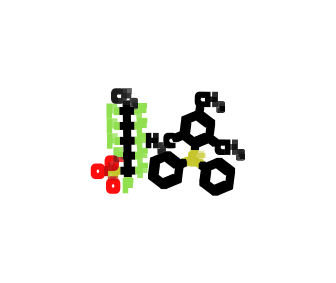 Cc1cc(C)c([S+](c2ccccc2)c2ccccc2)c(C)c1.O=S(=O)([O-])C(F)(F)C(F)(F)C(F)(F)C(F)(F)C(F)(F)C(F)(F)F